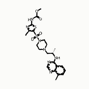 COC(=O)Nc1nc(C)c(S(=O)(=O)N2CCN(C[C@H](C)Nc3ncnc4c(C)cccc34)CC2)s1